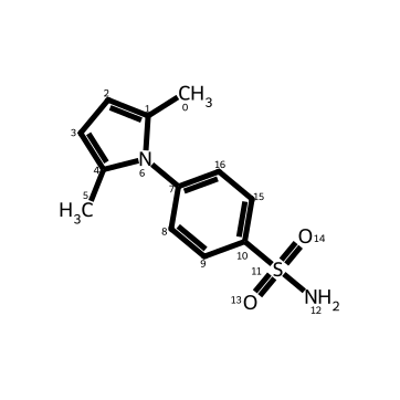 Cc1ccc(C)n1-c1ccc(S(N)(=O)=O)cc1